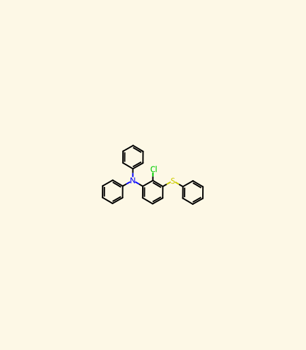 Clc1c(Sc2ccccc2)cccc1N(c1ccccc1)c1ccccc1